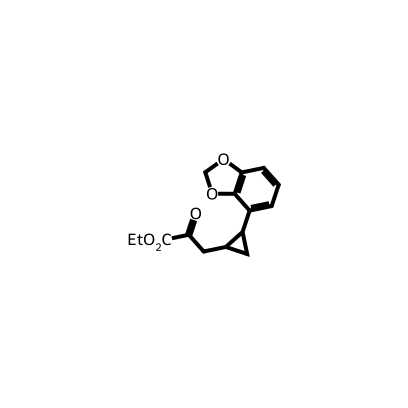 CCOC(=O)C(=O)CC1CC1c1cccc2c1OCO2